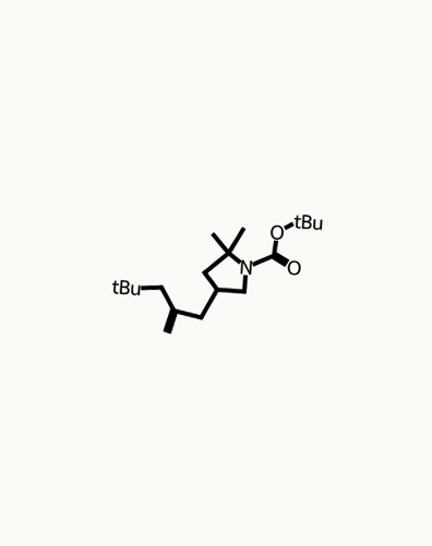 C=C(CC1CN(C(=O)OC(C)(C)C)C(C)(C)C1)CC(C)(C)C